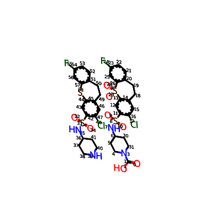 O=C(O)N1CCC(NS(=O)(=O)c2cc3c(cc2Cl)CCc2ccc(F)cc2S3(=O)=O)CC1.O=S(=O)(NC1CCNCC1)c1cc2c(cc1Cl)CCc1ccc(F)cc1S2